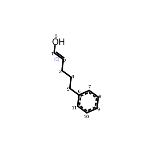 O/C=C/CCCc1ccccc1